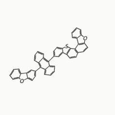 c1ccc2c(c1)oc1ccc(-c3c4ccccc4c(-c4ccc5sc6c(ccc7ccc8oc9ccccc9c8c76)c5c4)c4ccccc34)cc12